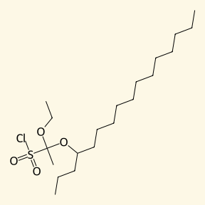 CCCCCCCCCCCCC(CCC)OC(C)(OCC)S(=O)(=O)Cl